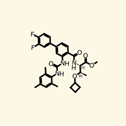 COC(=O)[C@@H](NC(=O)c1ccc(-c2ccc(F)c(F)c2)cc1NC(=O)Nc1c(C)cc(C)cc1C)[C@@H](C)OC1CCC1